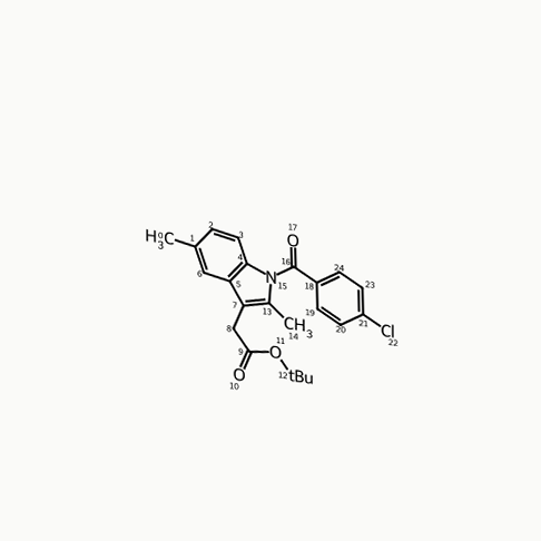 Cc1ccc2c(c1)c(CC(=O)OC(C)(C)C)c(C)n2C(=O)c1ccc(Cl)cc1